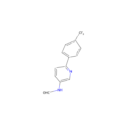 O=CNc1ccc(-c2ccc(C(F)(F)F)cc2)nc1